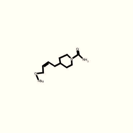 CCCCOC/C=C\CC1CCN(C(N)=O)CC1